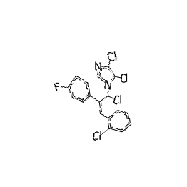 Fc1ccc(C(=Cc2ccccc2Cl)C(Cl)n2cnc(Cl)c2Cl)cc1